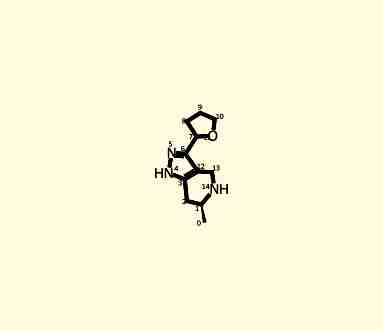 C[C@H]1Cc2[nH]nc(C3CCCO3)c2CN1